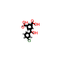 O=C(O)c1cc(C(=O)O)cc(C(O)c2cccc(Cl)c2)c1